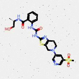 C[C@@H](CO)NC(=O)c1ccccc1NC(=O)Nc1nc2c(s1)CN(c1cncc(S(C)(=O)=O)c1)CC2